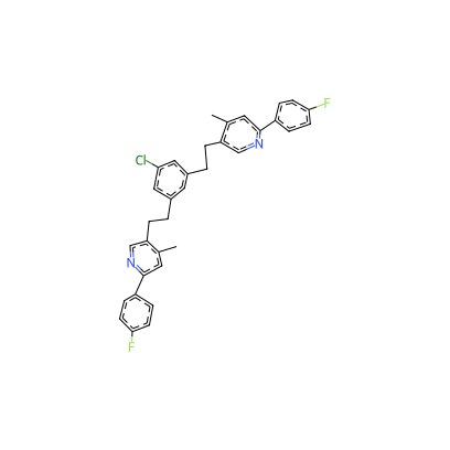 Cc1cc(-c2ccc(F)cc2)ncc1CCc1cc(Cl)cc(CCc2cnc(-c3ccc(F)cc3)cc2C)c1